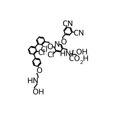 CC(CO)(NCc1cc(Cl)c(OCc2cccc(-c3cccc(-c4ccc(OCCNCCO)cc4)c3Cl)c2Cl)nc1OCc1cc(C#N)cc(C#N)c1)C(=O)O